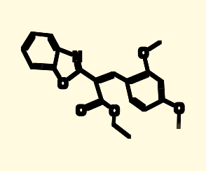 CCOC(=O)/C(=C\c1ccc(OC)cc1OC)c1nc2ccccc2o1